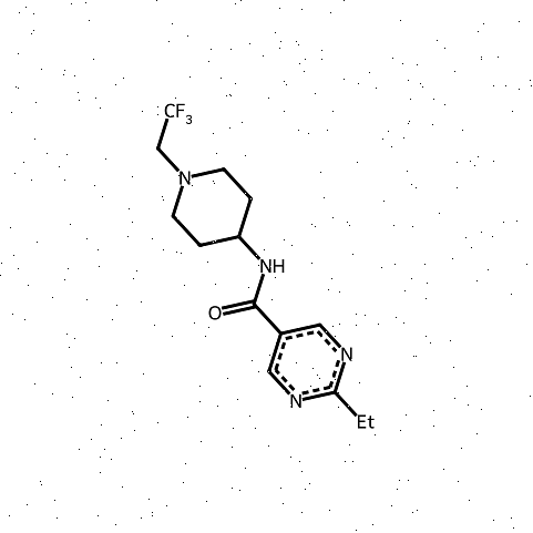 CCc1ncc(C(=O)NC2CCN(CC(F)(F)F)CC2)cn1